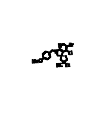 CC[C@]1(C#N)CC[C@@]2(CN(Cc3ccc(OC)cc3)c3ncc(Br)c(Cl)c32)C1